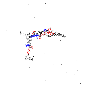 COCCOCOC(=O)NCCCCC(NC(=O)C(CCCCNC(=O)OCOCCOC)NC(=O)OCOCCOC)C(=O)O